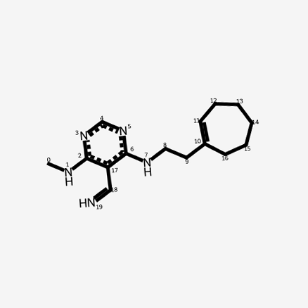 CNc1ncnc(NCCC2=CCCCCC2)c1C=N